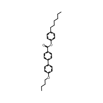 CCCCCCc1ccc(OC(=O)c2ccc(-c3ccc(OCCCC)cc3)cc2)cc1